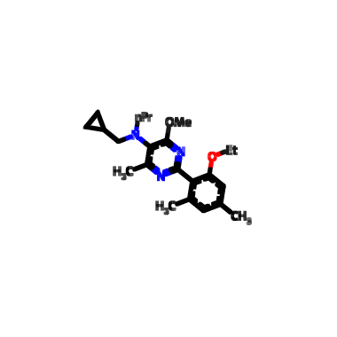 CCCN(CC1CC1)c1c(C)nc(-c2c(C)cc(C)cc2OCC)nc1OC